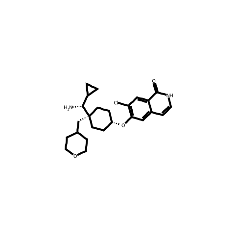 N[C@H](C1CC1)[C@]1(CC2CCOCC2)CC[C@@H](Oc2cc3cc[nH]c(=O)c3cc2Cl)CC1